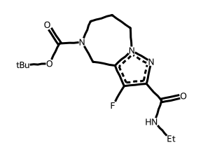 CCNC(=O)c1nn2c(c1F)CN(C(=O)OC(C)(C)C)CCC2